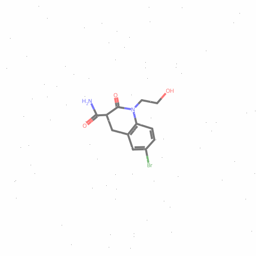 NC(=O)C1Cc2cc(Br)[c]cc2N(CCO)C1=O